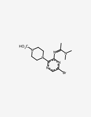 CC(=Nc1nc(Br)cnc1N1CCN(C(=O)O)CC1)N(C)C